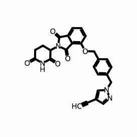 C#Cc1cnn(Cc2ccc(COc3cccc4c3C(=O)N(C3CCC(=O)NC3=O)C4=O)cc2)c1